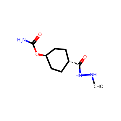 NC(=O)O[C@H]1CC[C@H](C(=O)NNC=O)CC1